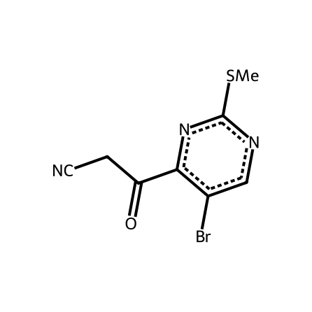 CSc1ncc(Br)c(C(=O)CC#N)n1